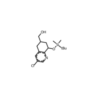 CC(C)(C)[Si](C)(C)OC1CC(CO)Cc2cc(Cl)cnc21